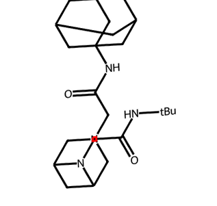 CC(C)(C)NC(=O)CN1C2CC1CN(CC(=O)NC13CC4CC(CC(C4)C1)C3)C2